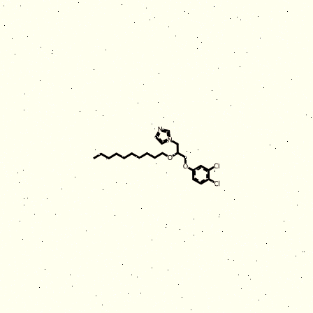 CCCCCCCCCCOC(COc1ccc(Cl)c(Cl)c1)Cn1ccnc1